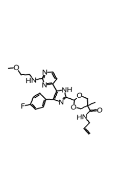 C=CCNC(=O)C1(C)COC(c2nc(-c3ccc(F)cc3)c(-c3ccnc(NCCOC)n3)[nH]2)OC1